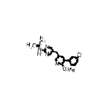 C=C(C)Nc1ncc(Cc2cnc(OC)c(-c3cccc(Cl)c3)c2)cn1